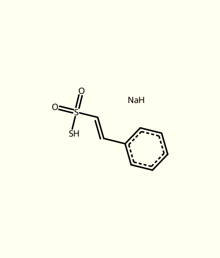 O=S(=O)(S)C=Cc1ccccc1.[NaH]